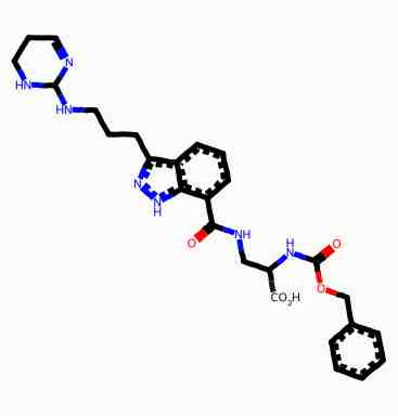 O=C(NC(CNC(=O)c1cccc2c(CCCNC3N=CCCN3)n[nH]c12)C(=O)O)OCc1ccccc1